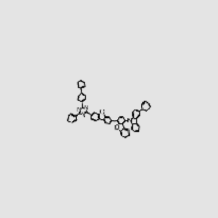 c1ccc(-c2ccc(-c3nc(-c4ccccc4)nc(-c4ccc5c(c4)oc4cc(-c6ccc(-n7c8ccccc8c8cc(-c9ccccc9)ccc87)c7c6oc6ccccc67)ccc45)n3)cc2)cc1